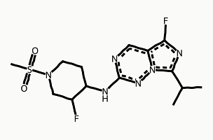 CC(C)c1nc(F)c2cnc(NC3CCN(S(C)(=O)=O)CC3F)nn12